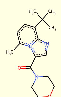 Cc1ccc(C(C)(C)C)c2ncc(C(=O)N3CCOCC3)n12